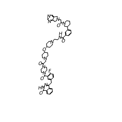 O=C(NCCN1CCC(OC2CCN(CC(=O)N3CCN(C(=O)c4cc(Cc5n[nH]c(=O)c6ccccc56)ccc4F)CC3)CC2)CC1)c1cccc(C2CCCN(C(=O)CN3Cc4cncnc4C3)C2)c1